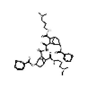 CN(C)CCCNC(=O)C1C2CC(OC(=O)c3ccccc3)C(C2)C1C(=O)NC(=O)C1C2CC(CC2OC(=O)c2ccccc2)C1C(=O)NCCCN(C)C